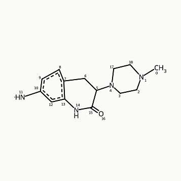 CN1CCN(C2Cc3ccc([NH])cc3NC2=O)CC1